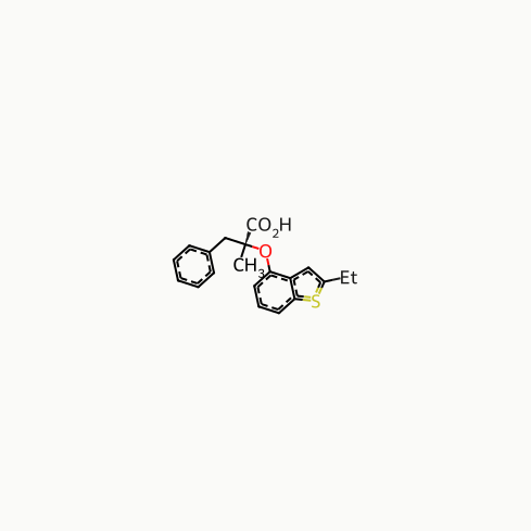 CCc1cc2c(O[C@](C)(Cc3ccccc3)C(=O)O)cccc2s1